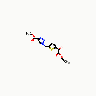 CCOC(=O)C(=O)c1ccc(Cn2cc(C(=O)OC)nn2)s1